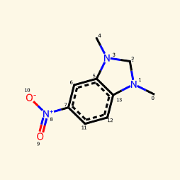 CN1[CH]N(C)c2cc([N+](=O)[O-])ccc21